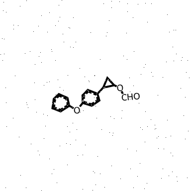 O=COC1CC1c1ccc(Oc2ccccc2)cc1